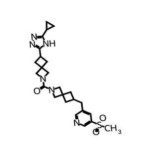 CS(=O)(=O)c1cncc(CC2CC3(C2)CN(C(=O)N2CC4(CC(c5nnc(C6CC6)[nH]5)C4)C2)C3)c1